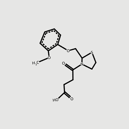 COc1ccccc1OCC1SCCN1C(=O)CCC(=O)O